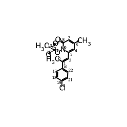 C/C(=C\c1cc(C)cc(=O)n1OS(C)(=O)=O)c1ccc(Cl)cc1